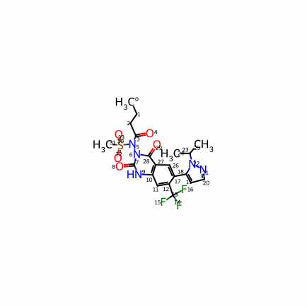 CCCC(=O)N(n1c(=O)[nH]c2cc(C(F)(F)F)c(-c3ccnn3C(C)C)cc2c1=O)S(C)(=O)=O